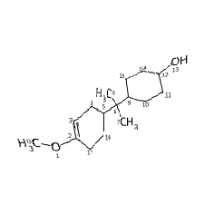 COC1=CCC(C(C)(C)C2CCC(O)CC2)CC1